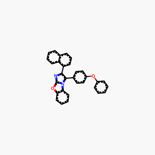 c1ccc(Oc2ccc(-c3c(-c4cccc5ccccc45)nc4oc5ccccc5n34)cc2)cc1